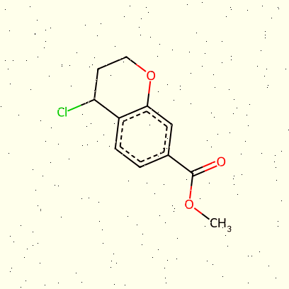 COC(=O)c1ccc2c(c1)OCCC2Cl